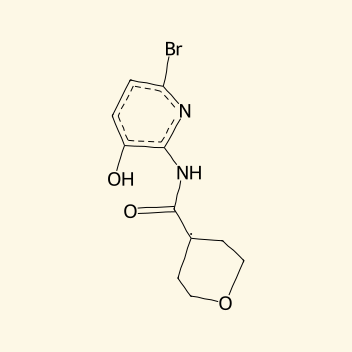 O=C(Nc1nc(Br)ccc1O)[C]1CCOCC1